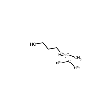 CC(=O)O.CCCOCCC.OCCCO